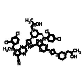 C[C@H](c1ccc(Cl)cc1Cl)n1nc(C#N)c2ncc(N3CC([C@H]4CC(C[C@H](c5ccc(Cl)cc5Cl)n5nc(C#N)c6ncc(N7CC([C@@H]8CCCN(C[C@@H](C)O)C8)C7)nc65)CN(C[C@@H](C)O)C4)C3)nc21